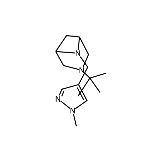 Cn1cc(CN2C3CC2CN(C(C)(C)C)C3)cn1